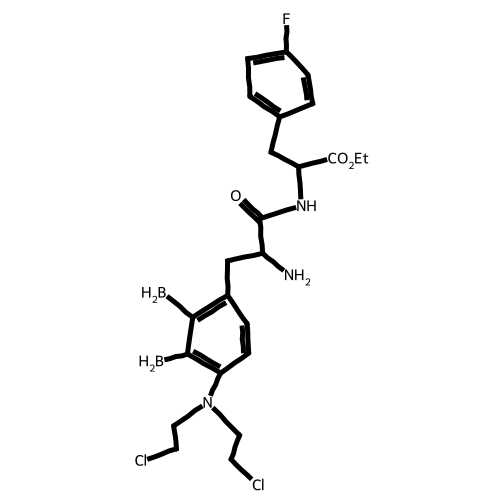 Bc1c(CC(N)C(=O)NC(Cc2ccc(F)cc2)C(=O)OCC)ccc(N(CCCl)CCCl)c1B